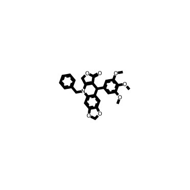 COc1cc(C2C3=C(COC3=O)N(Cc3ccccc3)c3cc4c(cc32)OCO4)cc(OC)c1OC